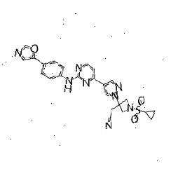 N#CCC1(n2cc(-c3ccnc(Nc4ccc(-c5cnco5)cc4)n3)cn2)CN(S(=O)(=O)C2CC2)C1